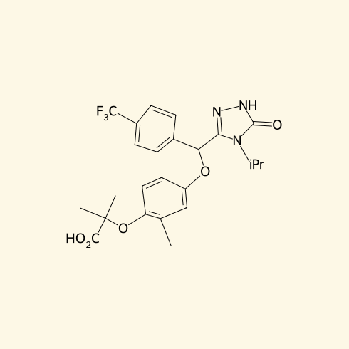 Cc1cc(OC(c2ccc(C(F)(F)F)cc2)c2n[nH]c(=O)n2C(C)C)ccc1OC(C)(C)C(=O)O